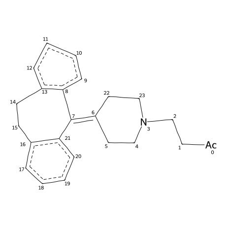 CC(=O)CCN1CCC(=C2c3ccccc3CCc3ccccc32)CC1